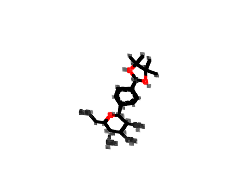 CC(=O)OCC1O[C@@H](c2ccc(B3OC(C)(C)C(C)(C)O3)cc2)C(OC(C)=O)C(OC(C)=O)[C@@H]1OC(C)=O